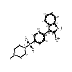 CN1CCN(S(=O)(=O)c2ccc(-c3c(O)[nH]c4ccccc34)nc2)CC1